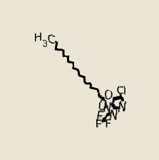 CCCCCCCCCCCCCCCCCC(=O)On1c(C(F)(F)F)nc2ncc(Cl)cc21